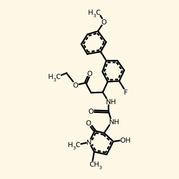 CCOC(=O)CC(NC(=O)Nc1c(O)cc(C)n(C)c1=O)c1cc(-c2cccc(OC)c2)ccc1F